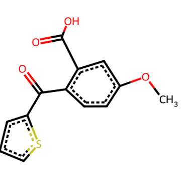 COc1ccc(C(=O)c2cccs2)c(C(=O)O)c1